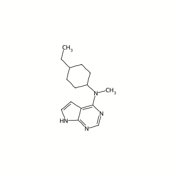 CCC1CCC(N(C)c2ncnc3[nH]ccc23)CC1